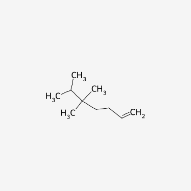 C=CCCC(C)(C)C(C)C